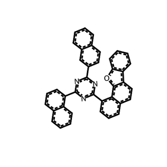 c1ccc2cc(-c3nc(-c4cccc5ccccc45)nc(-c4cccc5ccc6c7ccccc7oc6c45)n3)ccc2c1